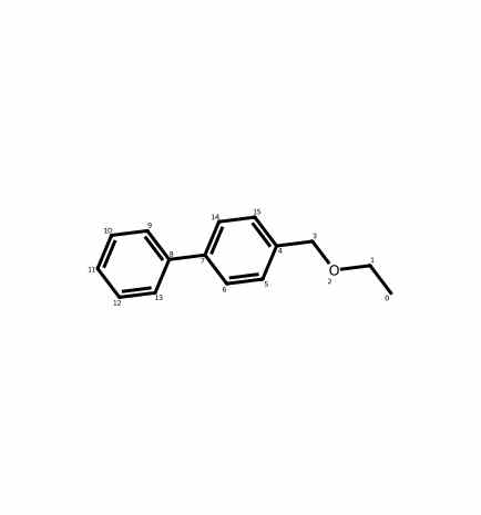 CCOCc1ccc(-c2ccccc2)cc1